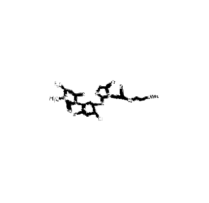 COCCOC(=O)CN1C(=O)CS/C1=N\c1cc(-n2c(=O)cc(C(F)(F)F)n(C)c2=O)c(F)cc1Cl